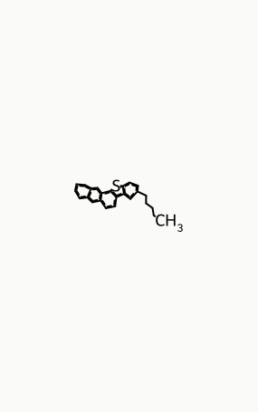 CCCCCc1ccc2sc3c4cc5ccccc5cc4ccc3c2c1